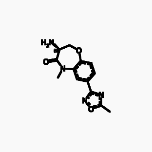 Cc1nc(-c2ccc3c(c2)N(C)C(=O)[C@@H](N)CO3)no1